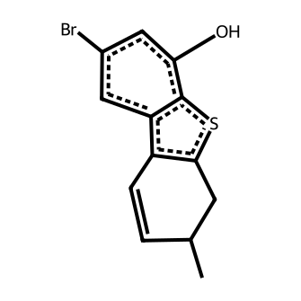 CC1C=Cc2c(sc3c(O)cc(Br)cc23)C1